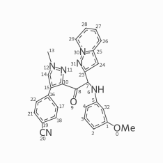 COc1cccc(NC(C(=O)c2nn(C)cc2-c2ccc(C#N)cc2)c2cc3ccccn3n2)c1